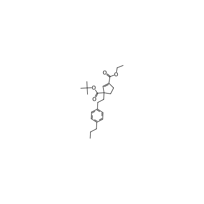 CCCc1ccc(CCC2(C(=O)OC(C)(C)C)C=C(C(=O)OCC)CC2)cc1